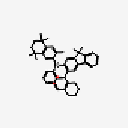 Cc1cc2c(cc1N(c1ccccc1)c1cc3c(cc1-c1cccc4c1CCCC4)-c1ccccc1C3(C)C)C(C)(C)CCC2(C)C